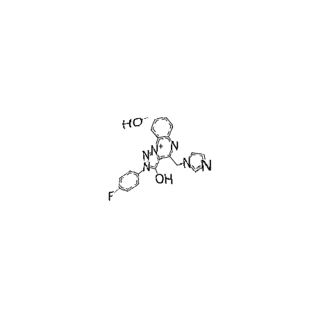 Oc1c2c(Cn3ccnc3)nc3ccccc3[n+]2nn1-c1ccc(F)cc1.[OH-]